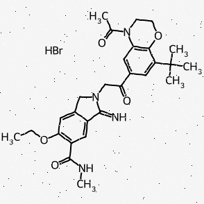 Br.CCOc1cc2c(cc1C(=O)NC)C(=N)N(CC(=O)c1cc3c(c(C(C)(C)C)c1)OCCN3C(C)=O)C2